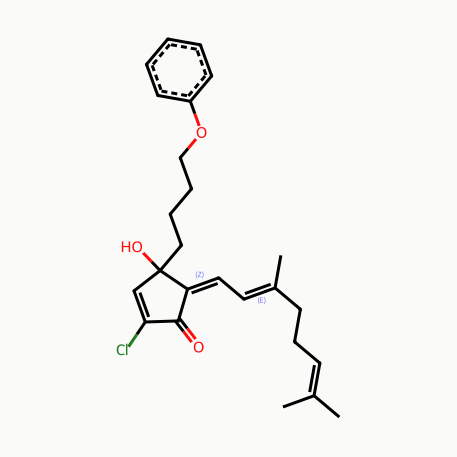 CC(C)=CCC/C(C)=C/C=C1\C(=O)C(Cl)=CC1(O)CCCCOc1ccccc1